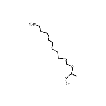 CCCCCCCCCCCCCCCCCCCCOC(C)OC(C)C